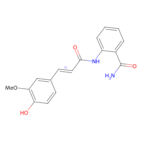 COc1cc(/C=C/C(=O)Nc2ccccc2C(N)=O)ccc1O